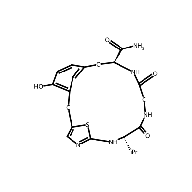 CC(C)[C@@H]1Nc2ncc(s2)Cc2cc(ccc2O)C[C@@H](C(N)=O)NC(=O)CNC1=O